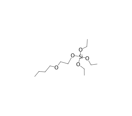 CCCCOCCO[Si](OCC)(OCC)OCC